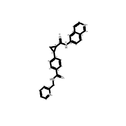 O=C(NCc1ccccn1)c1ccc(C2CC2C(=O)Nc2ccc3cnccc3c2)cc1